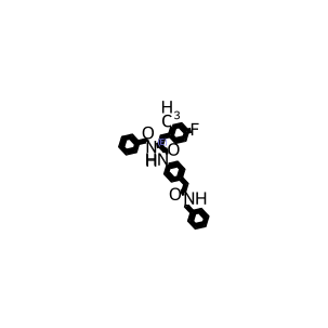 Cc1cc(F)ccc1/C=C(/NC(=O)c1ccccc1)C(=O)Nc1ccc(CC(=O)NCc2ccccc2)cc1